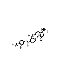 C=C/C=C\c1c(N)ccc(=O)n1CCN1CCC(NCc2ccc(C)c(F)c2)CC1